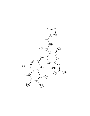 CC(C)/C=C/[C@@H](C[C@@H]1O[C@](O)(C[C@@H](O)C(C)C)C[C@H](O)[C@H]1C(=O)NCC1CCO1)OC1OC(C)C(O)C(N)C1O